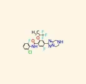 C[C@H](Oc1cc(-c2nc3n(n2)CCNC3)c(F)cc1C(=O)Nc1c(F)cccc1Cl)C(F)(F)F